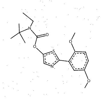 CCN(C(=O)Oc1cnc(-c2cc(OC)ccc2OC)s1)C(C)(C)C